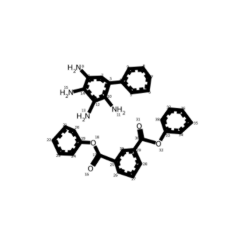 Nc1cc(-c2ccccc2)c(N)c(N)c1N.O=C(Oc1ccccc1)c1cccc(C(=O)Oc2ccccc2)c1